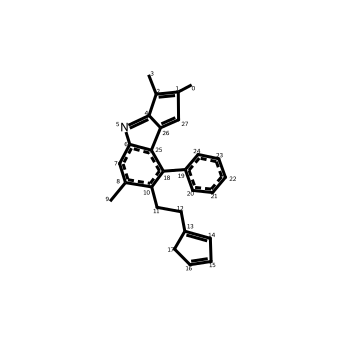 CC1=C(C)C2=Nc3cc(C)c(CCC4=CC=CC4)c(-c4ccccc4)c3C2=C1